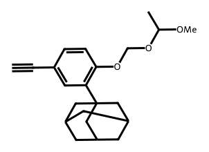 C#Cc1ccc(OCOC(C)OC)c(C23CC4CC(CC(C4)C2)C3)c1